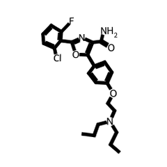 CCCN(CCC)CCOc1ccc(-c2oc(-c3c(F)cccc3Cl)nc2C(N)=O)cc1